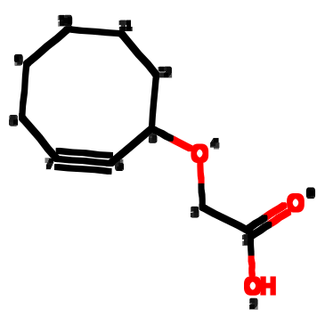 O=C(O)COC1C#CCCCCC1